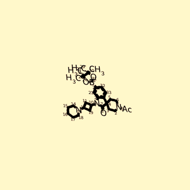 CC(=O)N1CCC2(CC1)C(=O)N(C1CC(N3CCCCC3)C1)c1cc(B3OC(C)(C)C(C)(C)O3)ccc12